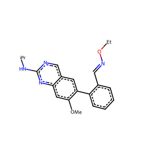 CCON=Cc1ccccc1-c1cc2cnc(NC(C)C)nc2cc1OC